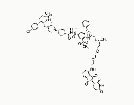 CN(CCOCCOCCNc1cccc2c1C(=O)N(C1CCC(=O)NC1=O)C2=O)CC[C@H](CSc1ccccc1)Nc1ccc(S(=O)(=O)NC(=O)c2ccc(N3CCN(CC4=C(c5ccc(Cl)cc5)CCC(C)(C)C4)CC3)cc2)cc1S(=O)(=O)C(F)(F)F